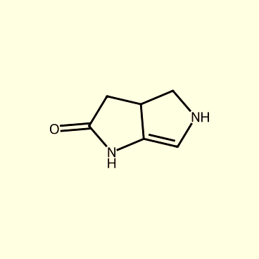 O=C1CC2CNC=C2N1